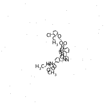 CCC[C@@H](NC(=O)c1ccc(Cl)c(Cn2cc(-c3cccc4c3[C@H]3C[C@H]3CN4C(=O)OCCOc3cccc(Cl)c3C)cn2)c1)C(=O)OC